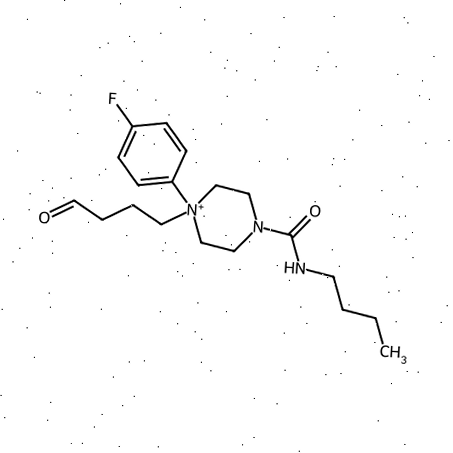 CCCCNC(=O)N1CC[N+](CCCC=O)(c2ccc(F)cc2)CC1